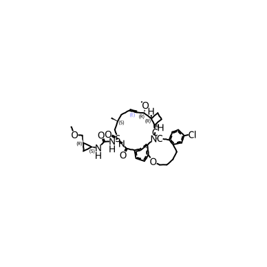 COC[C@@H]1C[C@@H]1NC(=O)NS1(=O)=NC(=O)c2ccc3c(c2)N(Cc2ccc(Cl)cc2CCCCO3)C[C@@H]2CC[C@H]2[C@@H](OC)/C=C/C[C@H](C)C1